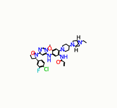 C=CC(=O)Nc1cc(Nc2cc(N3OCC[C@@H]3c3ccc(Cl)c(F)c3)ncn2)c(OC)cc1N1CCC(N2C[C@@H]3C[C@H]2CN3CC)CC1